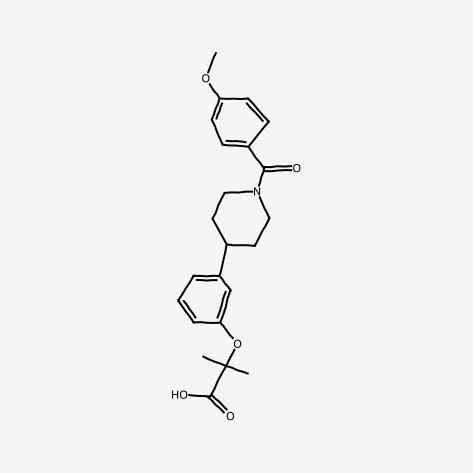 COc1ccc(C(=O)N2CCC(c3cccc(OC(C)(C)C(=O)O)c3)CC2)cc1